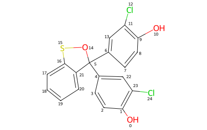 Oc1ccc(C2(c3ccc(O)c(Cl)c3)OSc3ccccc32)cc1Cl